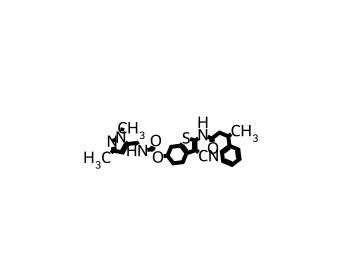 Cc1cc(CNC(=O)OC2CCc3c(sc(NC(=O)CC(C)c4ccccc4)c3C#N)C2)n(C)n1